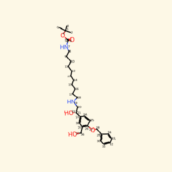 CC(C)(C)OC(=O)NCCCCCCCCCCCNC[C@@H](O)c1ccc(OCc2ccccc2)c(CO)c1